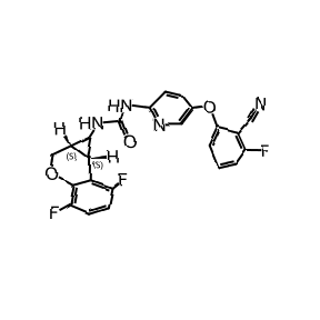 N#Cc1c(F)cccc1Oc1ccc(NC(=O)NC2[C@H]3COc4c(F)ccc(F)c4[C@@H]23)nc1